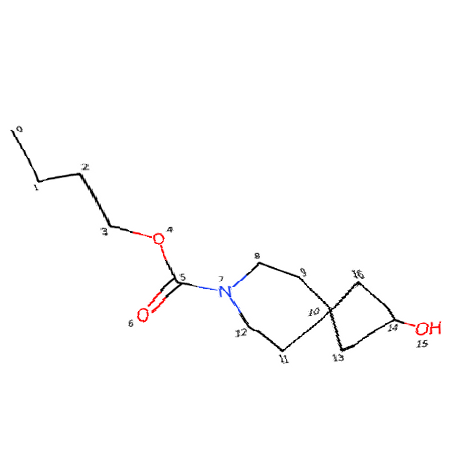 CCCCOC(=O)N1CCC2(CC1)CC(O)C2